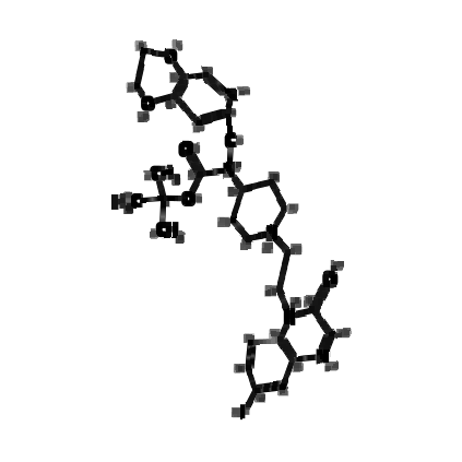 CC(C)(C)OC(=O)N(Cc1cc2c(cn1)OCCO2)C1CCN(CCn2c(=O)cnc3cc(F)ccc32)CC1